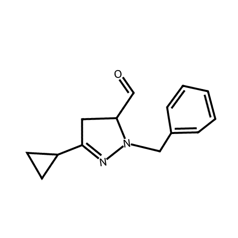 O=CC1CC(C2CC2)=NN1Cc1ccccc1